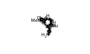 COc1ccc(C[C@H]2NC(=O)/C=C/C[C@@H]([C@H](C)[C@H]3O[C@@H]3c3ccc(CN)cc3)OC(O)[C@H](CC(C)(C)C)NC(=O)C(C)(C)[C@H](C)NC2=O)cc1Cl